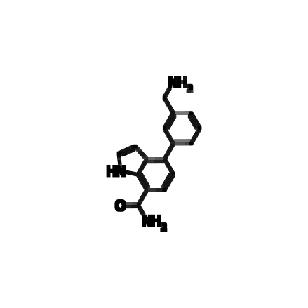 NCc1cccc(-c2ccc(C(N)=O)c3[nH]ccc23)c1